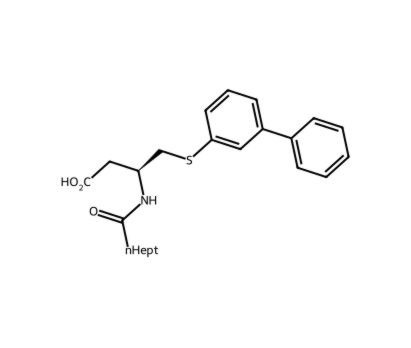 CCCCCCCC(=O)N[C@H](CSc1cccc(-c2ccccc2)c1)CC(=O)O